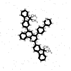 CC1(C)c2ccccc2-c2ccc(-c3cc(-c4ccc(-c5cccnc5)cc4)c4cc(-c5ccc6c(c5)C(C)(C)c5ccccc5-6)c5ccccc5c4n3)cc21